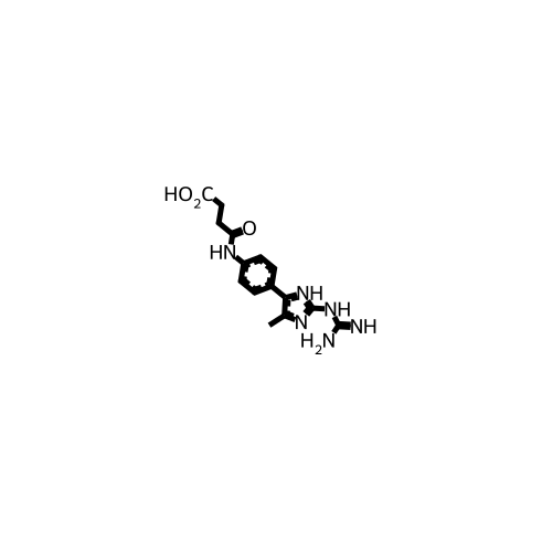 Cc1nc(NC(=N)N)[nH]c1-c1ccc(NC(=O)CCC(=O)O)cc1